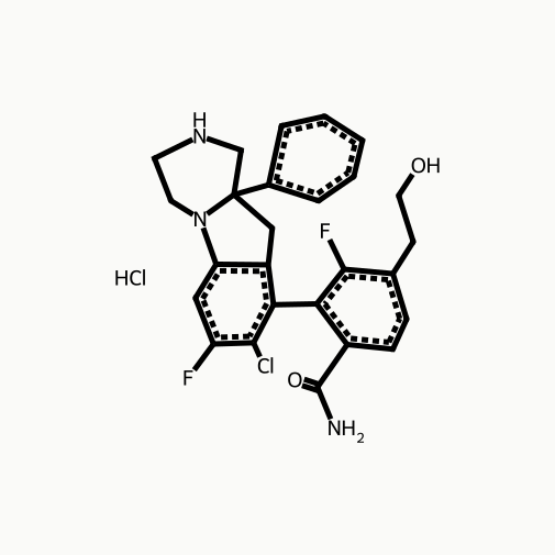 Cl.NC(=O)c1ccc(CCO)c(F)c1-c1c(Cl)c(F)cc2c1CC1(c3ccccc3)CNCCN21